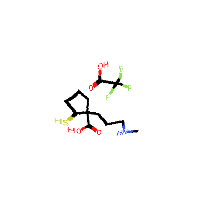 CNCCCC1(C(=O)O)CCCC1S.O=C(O)C(F)(F)F